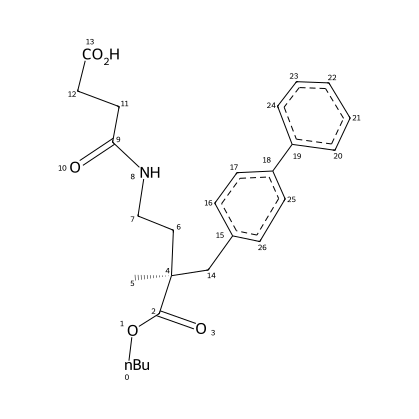 CCCCOC(=O)[C@@](C)(CCNC(=O)CCC(=O)O)Cc1ccc(-c2ccccc2)cc1